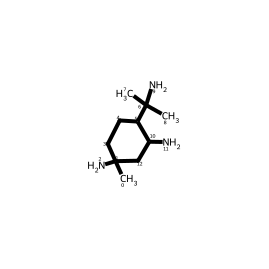 CC1(N)CCC(C(C)(C)N)C(N)C1